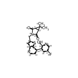 CC1(C)C2C(=O)N(Cc3cc4nccc(-c5cc(F)cnc5O)c4s3)C(=O)C21